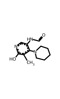 Cc1c(O)ncc(NC=O)c1N1CCCCC1